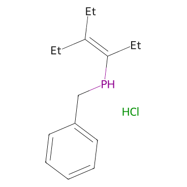 CCC(CC)=C(CC)PCc1ccccc1.Cl